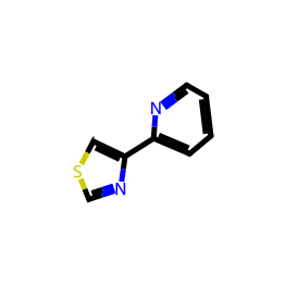 [c]1scnc1-c1ccccn1